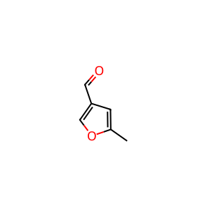 Cc1cc(C=O)co1